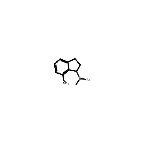 CC(=O)N(I)C1CCc2cccc(C)c21